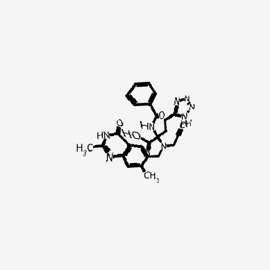 C#CCN(Cc1cc2c(=O)[nH]c(C)nc2cc1C)C(CCc1nnn[nH]1)(NC(=O)c1ccccc1)C(=O)O